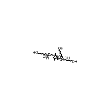 CC1CN(CCON(CC(O)CCCCO)CC(O)CCCCO)C(C)CN1CCONCC(O)CCCCO